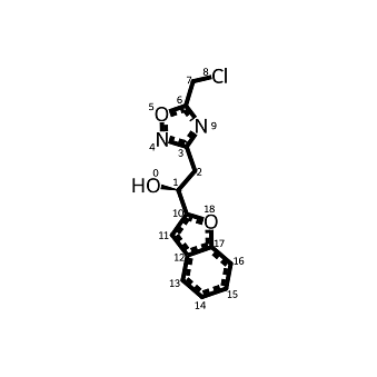 O[C@@H](Cc1noc(CCl)n1)c1cc2ccccc2o1